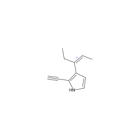 C#Cc1[nH]ccc1/C(=C\C)CC